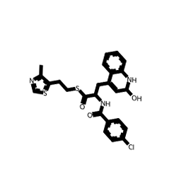 Cc1ncsc1CCSC(=O)C(CC1=CC(O)Nc2ccccc21)NC(=O)c1ccc(Cl)cc1